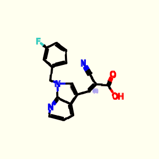 N#C/C(=C\c1cn(Cc2cccc(F)c2)c2ncccc12)C(=O)O